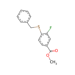 COC(=O)c1ccc(SCc2ccccc2)c(F)c1